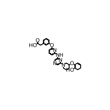 O=C(O)Cc1cccc(Oc2cccc(Nc3cncc(N4CCCC(OC5=C(O)CCC=C5)C4)n3)n2)c1